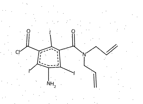 C=CCN(CC=C)C(=O)c1c(I)c(N)c(I)c(C(=O)Cl)c1I